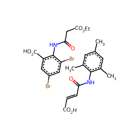 CCOC(=O)CC(=O)Nc1c(Br)cc(Br)cc1C(=O)O.Cc1cc(C)c(NC(=O)C=CC(=O)O)c(C)c1